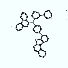 c1ccc(-c2cccc(N(c3ccc(-c4cccc5c4oc4ccc6ccccc6c45)cc3)c3cc4ccccc4c4ccccc34)c2)cc1